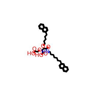 O=C(O)COC(C(=O)O)C(OCCCCCc1ccc2ccccc2c1)C(=O)NCCCCCCCc1ccc2ccccc2c1